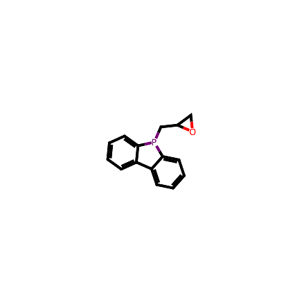 c1ccc2c(c1)c1ccccc1p2CC1CO1